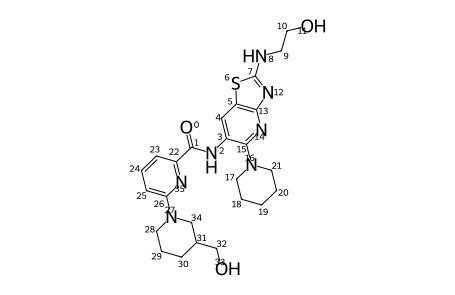 O=C(Nc1cc2sc(NCCO)nc2nc1N1CCCCC1)c1cccc(N2CCCC(CO)C2)n1